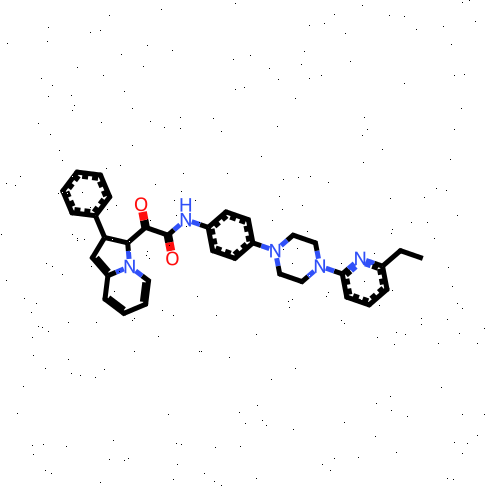 CCc1cccc(N2CCN(c3ccc(NC(=O)C(=O)C4C(c5ccccc5)C=C5C=CC=CN54)cc3)CC2)n1